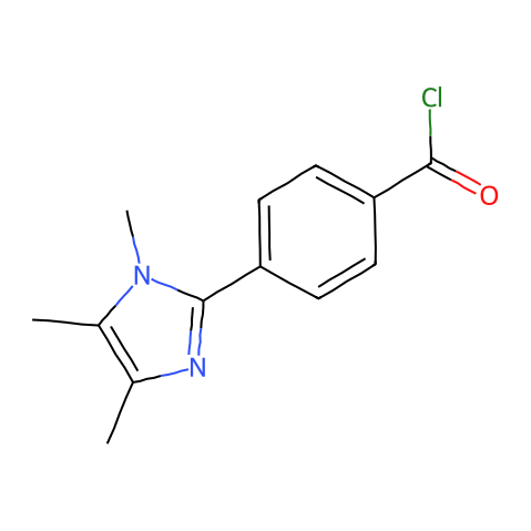 Cc1nc(-c2ccc(C(=O)Cl)cc2)n(C)c1C